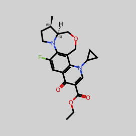 CCOC(=O)c1cn(C2CC2)c2c3c(c(F)cc2c1=O)N1CC[C@@H](C)[C@H]1COC3